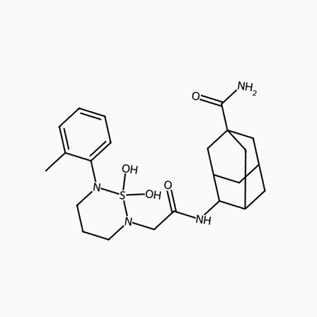 Cc1ccccc1N1CCCN(CC(=O)NC2C3CC4CC2CC(C(N)=O)(C4)C3)S1(O)O